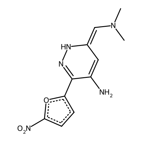 CN(C)C=C1C=C(N)C(c2ccc([N+](=O)[O-])o2)=NN1